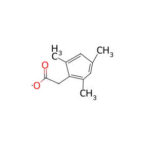 Cc1cc(C)c(CC([O])=O)c(C)c1